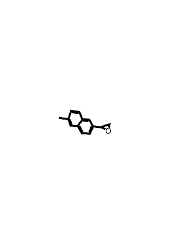 Cc1ccc2cc(C3CO3)ccc2c1